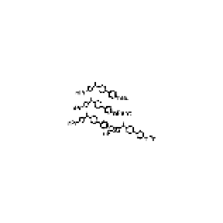 CCCC1CC(C(C)C2CCC(c3ccc(CC)cc3)CC2)C1.CCCCCc1ccc(C2CCC(C(C)C3CC(CCC)C3)CC2)cc1.CCCCc1ccc(C2CCC(C(C)C3CC(CCC)C3)CC2)cc1.CCCc1ccc(C2CCC(C(C)C3CC(CCC)C3)CC2)cc1